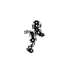 CC(C)(C)c1cc(NC(=O)NCc2ccccc2Sc2ccc3nnc(-c4ccccc4Cl)n3c2)n(-c2ccc(OCCOC3CCCCO3)cc2)n1